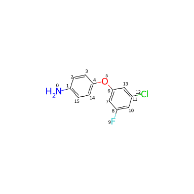 Nc1ccc(Oc2cc(F)cc(Cl)c2)cc1